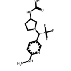 NNc1ccc([C@H](N2CC[C@@H](NC(=O)O)C2)C(F)(F)F)cn1